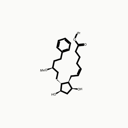 CO[C@@H](CCc1ccccc1)CC[C@@H]1[C@@H](C/C=C\CCCC(=O)OC(C)C)[C@@H](O)C[C@H]1O